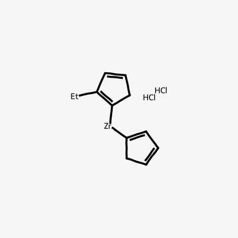 CCC1=[C]([Zr][C]2=CC=CC2)CC=C1.Cl.Cl